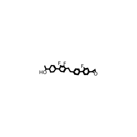 CC(O)C1CC=C(C2CC=C(CCc3ccc(-c4ccc(C5CO5)cc4F)cc3)C(F)=C2F)CC1